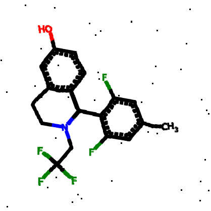 Cc1cc(F)c(C2c3ccc(O)cc3CCN2CC(F)(F)F)c(F)c1